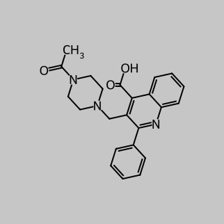 CC(=O)N1CCN(Cc2c(-c3ccccc3)nc3ccccc3c2C(=O)O)CC1